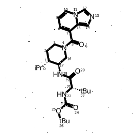 CC(C)[C@@H]1CCN(C(=O)c2cccn3cncc23)C[C@H]1NC(=O)[C@@H](NC(=O)OC(C)(C)C)C(C)(C)C